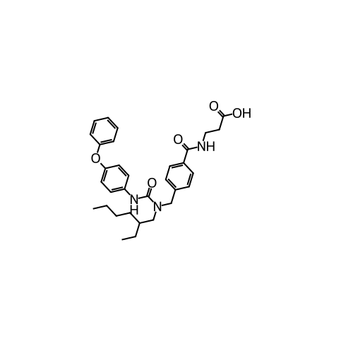 CCCCC(CC)CN(Cc1ccc(C(=O)NCCC(=O)O)cc1)C(=O)Nc1ccc(Oc2ccccc2)cc1